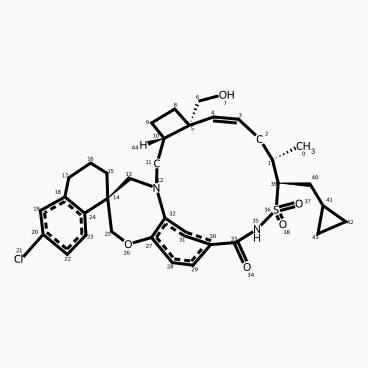 C[C@H]1C/C=C\[C@]2(CO)CC[C@H]2CN2C[C@@]3(CCCc4cc(Cl)ccc43)COc3ccc(cc32)C(=O)NS(=O)(=O)[C@@H]1CC1CC1